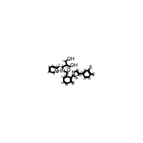 O=C(N[C@H](Cc1ccccn1)C(CO)CO)c1cccc(F)c1-c1ncc(-c2ccc(F)c(F)c2)s1